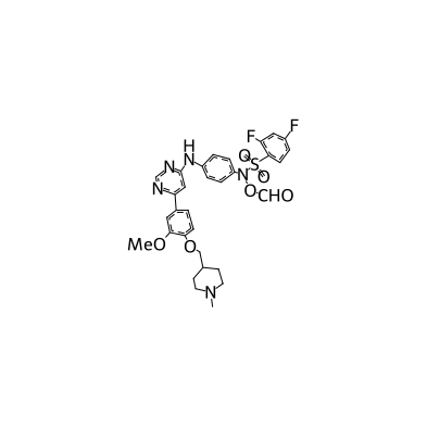 COc1cc(-c2cc(Nc3ccc(N(OC=O)S(=O)(=O)c4ccc(F)cc4F)cc3)ncn2)ccc1OCC1CCN(C)CC1